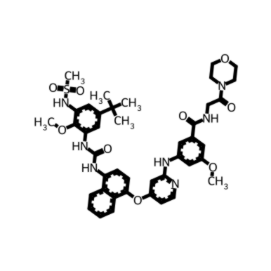 COc1cc(Nc2cc(Oc3ccc(NC(=O)Nc4cc(C(C)(C)C)cc(NS(C)(=O)=O)c4OC)c4ccccc34)ccn2)cc(C(=O)NCC(=O)N2CCOCC2)c1